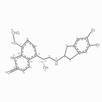 CCc1cc2c(cc1CC)CC(NC[C@H](O)c1ccc(OC=O)c3[nH]c(=O)ccc13)C2